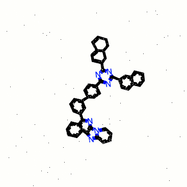 C1=CC2=CC=C(c3nc(-c4ccc(-c5cccc(-c6nc7c(nc8ccccn87)c7ccccc67)c5)cc4)nc(-c4ccc5ccccc5c4)n3)CC2CC1